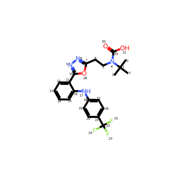 CC(C)(C)N(CCc1nnc(-c2ccccc2Nc2ccc(C(F)(F)F)cc2)o1)C(=O)O